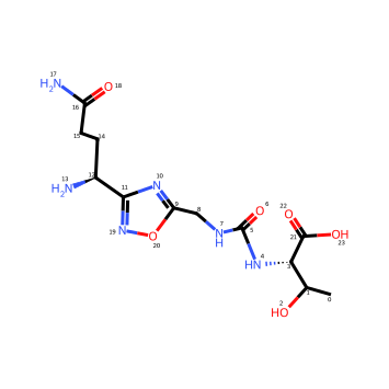 CC(O)[C@H](NC(=O)NCc1nc([C@@H](N)CCC(N)=O)no1)C(=O)O